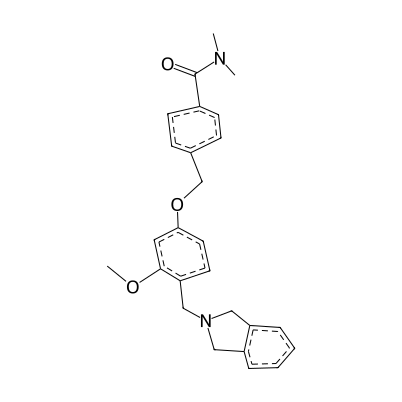 COc1cc(OCc2ccc(C(=O)N(C)C)cc2)ccc1CN1Cc2ccccc2C1